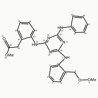 COOCc1ccccc1Nc1nc(Nc2ccccc2)nc(Nc2ccccc2CC(=O)OC)n1